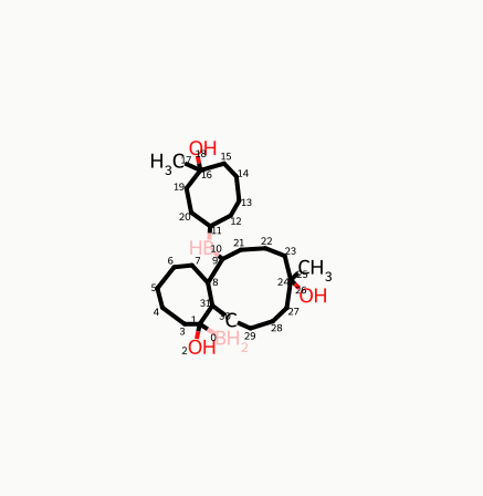 BC1(O)CCCCCC2C(BC3CCCCC(C)(O)CC3)CCCC(C)(O)CCCCC21